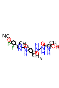 Cc1cc(NC(=O)c2ncc(-c3ccc(OCC#N)c(F)c3F)n2C)ccc1C(=O)NCCNC(=O)[C@H]1C[C@@](C)(O)CN1